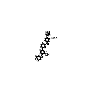 COc1cc(Nc2nccc(-c3ccc(OC4CCOCC4)c(C#N)c3)n2)ccc1-n1cnnn1